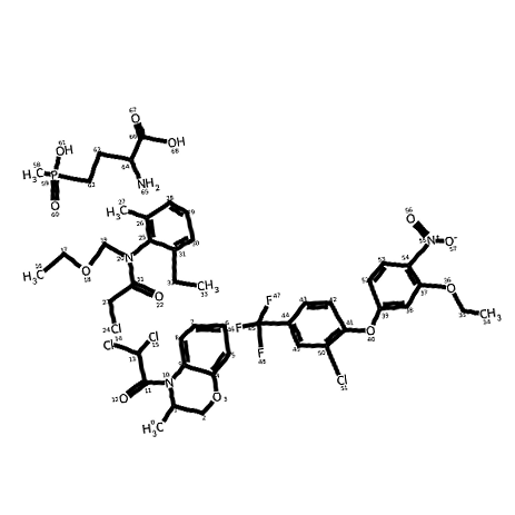 CC1COc2ccccc2N1C(=O)C(Cl)Cl.CCOCN(C(=O)CCl)c1c(C)cccc1CC.CCOc1cc(Oc2ccc(C(F)(F)F)cc2Cl)ccc1[N+](=O)[O-].CP(=O)(O)CCC(N)C(=O)O